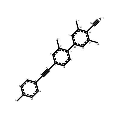 Cc1ccc(C#Cc2ccc(-c3cc(C)c(C#N)c(C)c3)c(C)c2)cc1